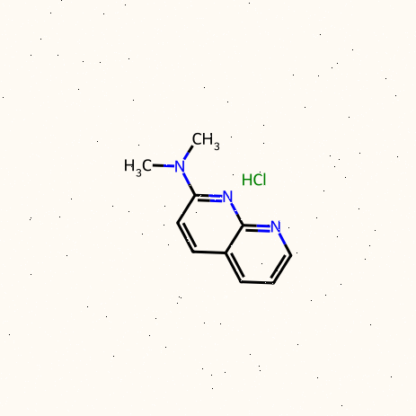 CN(C)c1ccc2cccnc2n1.Cl